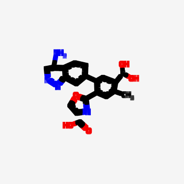 Cc1cc(-c2ncco2)c(-c2ccc3c(N)cnnc3c2)cc1B(O)O.O=CO